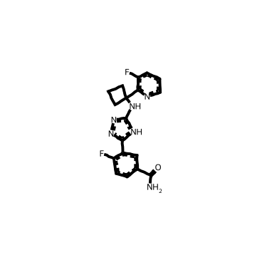 NC(=O)c1ccc(F)c(-c2nnc(NC3(c4ncccc4F)CCC3)[nH]2)c1